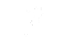 COCC(C)n1cc(C(=O)O)c(=O)cc1C